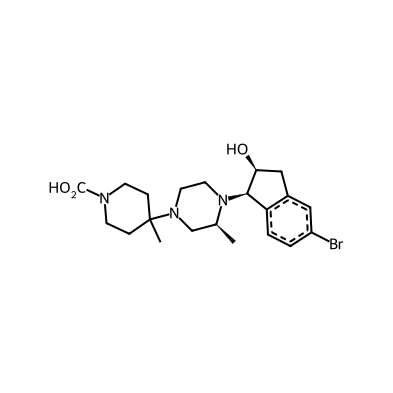 C[C@H]1CN(C2(C)CCN(C(=O)O)CC2)CCN1[C@@H]1c2ccc(Br)cc2C[C@@H]1O